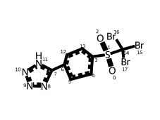 O=S(=O)(c1ccc(-c2nnn[nH]2)cc1)C(Br)(Br)Br